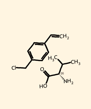 C=Cc1ccc(CCl)cc1.CC(C)[C@H](N)C(=O)O